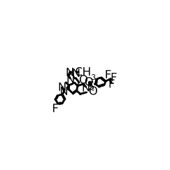 Cn1ncnc1C(=O)[C@]12Cc3cnn(-c4ccc(F)cc4)c3C=C1CCN(S(=O)(=O)c1ccc(C(F)(F)F)cc1)C2